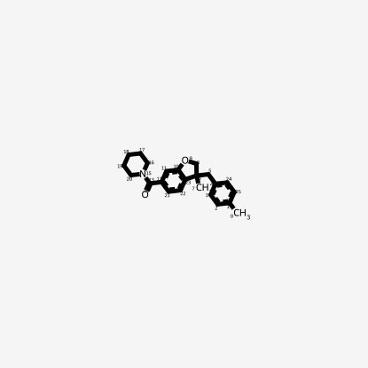 Cc1ccc(CC2(C)COc3cc(C(=O)N4CCCCC4)ccc32)cc1